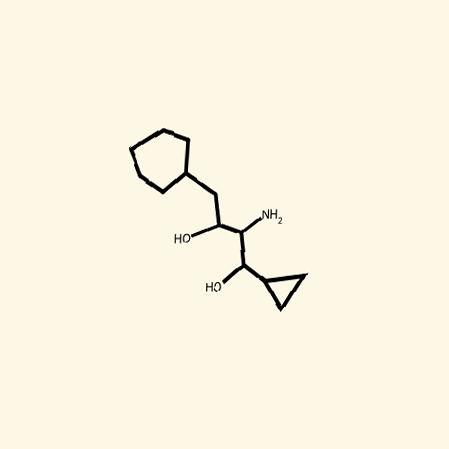 NC(C(O)CC1CCCCC1)C(O)C1CC1